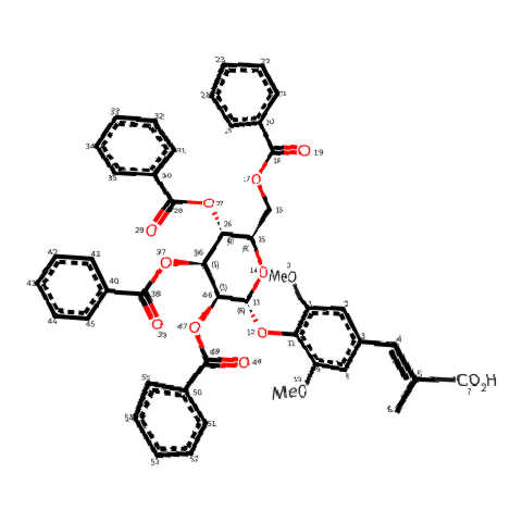 COc1cc(C=C(C)C(=O)O)cc(OC)c1O[C@H]1O[C@H](COC(=O)c2ccccc2)[C@@H](OC(=O)c2ccccc2)[C@H](OC(=O)c2ccccc2)[C@@H]1OC(=O)c1ccccc1